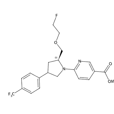 COC(=O)c1ccc(N2CC(c3ccc(C(F)(F)F)cc3)C[C@H]2COCCF)nc1